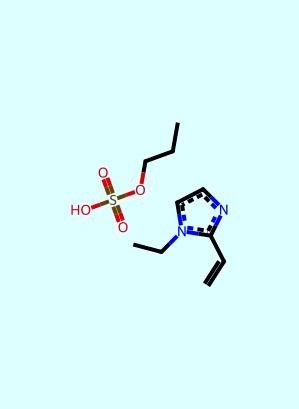 C=Cc1nccn1CC.CCCOS(=O)(=O)O